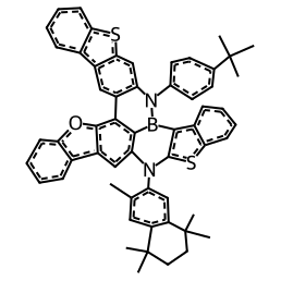 Cc1cc2c(cc1N1c3cc4c(oc5ccccc54)c4c3B(c3c1sc1ccccc31)N(c1ccc(C(C)(C)C)cc1)c1cc3sc5ccccc5c3cc1-4)C(C)(C)CCC2(C)C